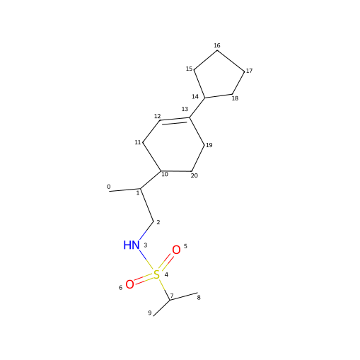 CC(CNS(=O)(=O)C(C)C)C1CC=C(C2CCCC2)CC1